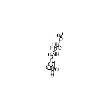 C=CC(=O)OCCNC(=O)NCCNC(=O)CCCCC1SCC2NC(=O)NC21